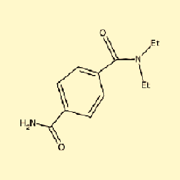 CCN(CC)C(=O)c1ccc(C(N)=O)cc1